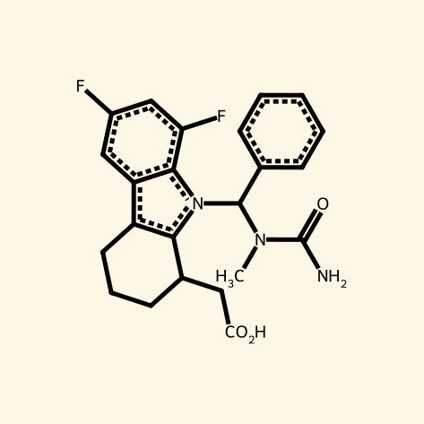 CN(C(N)=O)C(c1ccccc1)n1c2c(c3cc(F)cc(F)c31)CCCC2CC(=O)O